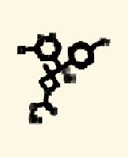 CC(C)c1ccc([C@](O)(c2cnnc(Cl)c2)C2(C)CN(C(=O)OC(C)(C)C)C2)cc1